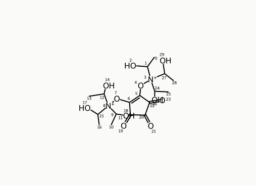 CC(O)[N+](Oc1c(O[N+](C(C)O)(C(C)O)C(C)O)c(=O)c(=O)c1=O)(C(C)O)C(C)O